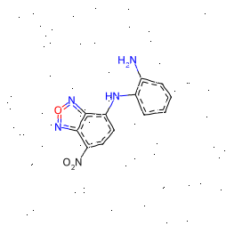 Nc1ccccc1Nc1ccc([N+](=O)[O-])c2nonc12